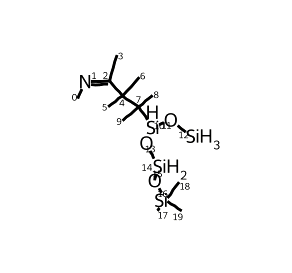 CN=C(C)C(C)(C)C(C)(C)[SiH](O[SiH3])O[SiH2]O[Si](C)(C)C